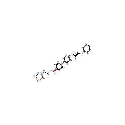 F/C(=C\Cc1ccccc1)Cc1ccc(-c2ccc(OCCCN3CCOCC3)cc2)cc1